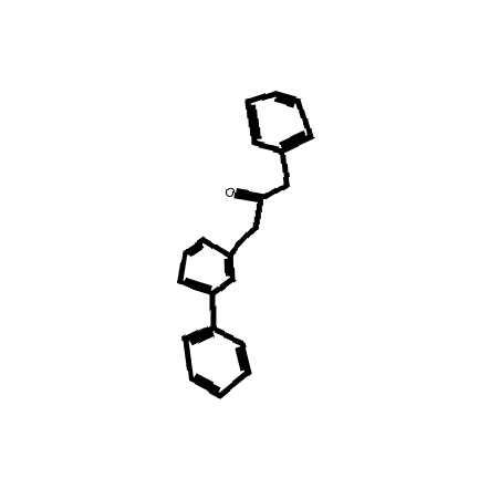 O=C(Cc1ccccc1)Cc1cccc(-c2ccccc2)c1